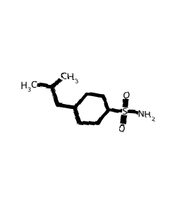 CC(C)CC1CCC(S(N)(=O)=O)CC1